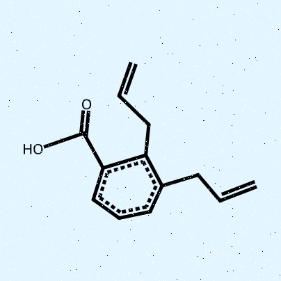 C=CCc1cccc(C(=O)O)c1CC=C